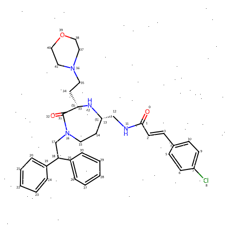 O=C(C=Cc1ccc(Cl)cc1)NC[C@@H]1CCN(CC(c2ccccc2)c2ccccc2)C(=O)[C@H](CCN2CCOCC2)N1